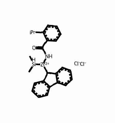 CC(C)c1ccccc1C(=O)[NH][Zr+2]([CH]1c2ccccc2-c2ccccc21)[SiH](C)C.[Cl-].[Cl-]